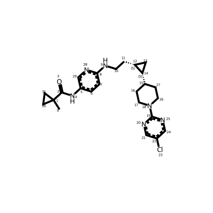 CC1(C(=O)Nc2ccc(NCC[C@@H]3C[C@@H]3C3CCN(c4ncc(Cl)cn4)CC3)nc2)CC1